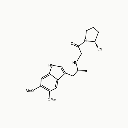 COc1cc2[nH]cc(C[C@H](C)NCC(=O)N3CCC[C@H]3C#N)c2cc1OC